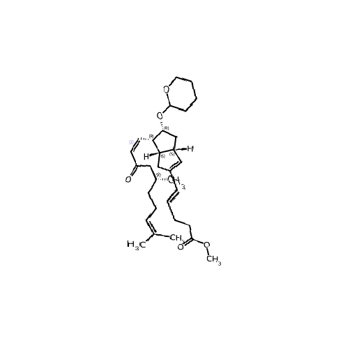 COC(=O)CCC=CC1=C[C@H]2C[C@@H](OC3CCCCO3)[C@@H](/C=C\C(=O)C[C@H](C)CCC=C(C)C)[C@H]2C1